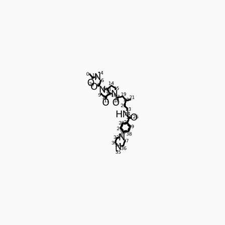 CC(=O)N(C)CC(=O)N1CC(=O)C2C1CCN2C(=O)CC(C)CCNC(=O)c1ccc(N2CCN(C)CC2)cc1